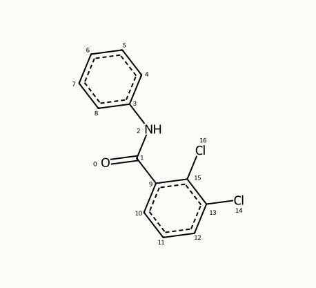 O=C(Nc1ccccc1)c1cccc(Cl)c1Cl